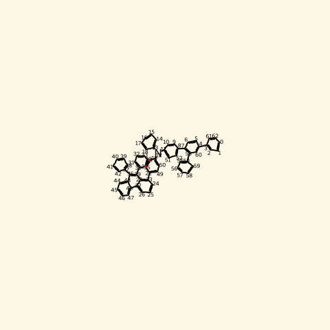 c1ccc(-c2ccc(-c3ccc(N(c4ccccc4)c4ccc(-c5cccc6c5c(-c5ccccc5)c(-c5ccccc5)c5ccccc56)cc4)cc3)c(-c3ccccc3)c2)cc1